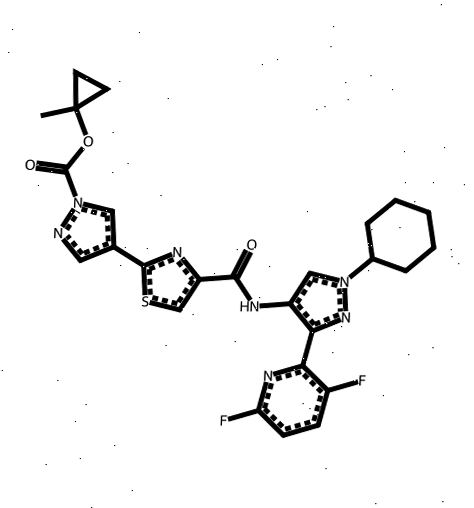 CC1(OC(=O)n2cc(-c3nc(C(=O)Nc4cn(C5CCCCC5)nc4-c4nc(F)ccc4F)cs3)cn2)CC1